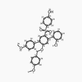 COc1ccc(COc2cc(-c3ccccc3Cl)c(S(=O)(=O)c3ccc(O)cc3)cc2-c2ccc(OC)cc2)cc1